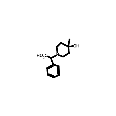 CC1(O)CCN(C(C(=O)O)c2ccccc2)CC1